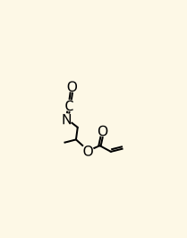 C=CC(=O)OC(C)CN=C=O